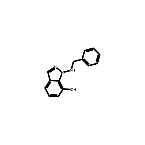 Oc1cccc2cnn(NCc3ccccc3)c12